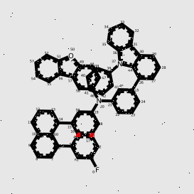 Fc1cccc(-c2cccc3cccc(-c4cccc(N(c5cccc(-c6cccc7c8ccccc8n(-c8ccccc8)c67)c5)c5ccc6oc7ccccc7c6c5)c4)c23)c1